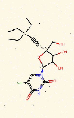 CC[Si](C#C[C@@]1(CO)O[C@H](n2cc(F)c(=O)[nH]c2=O)C(O)C1O)(CC)CC